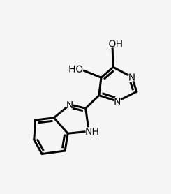 Oc1ncnc(-c2nc3ccccc3[nH]2)c1O